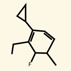 CCC1=C(C2CC2)C=CC(C)C1F